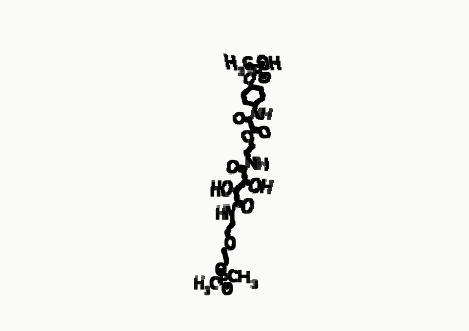 CP(C)(=O)OCCOCCNC(=O)[C@H](O)C(O)C(=O)NCCOC(=O)C(=O)NC1CCC(OP(C)(=O)O)CC1